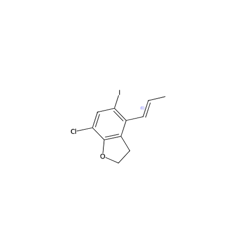 C/C=C/c1c(I)cc(Cl)c2c1CCO2